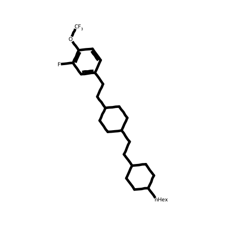 CCCCCCC1CCC(CCC2CCC(CCc3ccc(OC(F)(F)F)c(F)c3)CC2)CC1